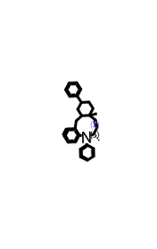 C[C@H]1/C=C\C2(C)CCC(c3ccccc3)CC2Cc2c#cccc2N1C1=C=C=CC=C1